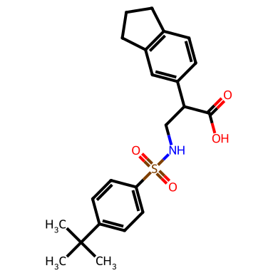 CC(C)(C)c1ccc(S(=O)(=O)NCC(C(=O)O)c2ccc3c(c2)CCC3)cc1